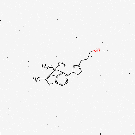 CC1=C2c3c(ccc(C4=CC(CCCO)=CC4)c3[Si]2(C)C)[CH]1